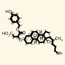 CC(C)CCC[C@@H](C)[C@H]1CC[C@H]2[C@@H]3CC=C4C[C@@H](OC(CC(=O)O)C(=O)OCc5ccc(O)cc5)CC[C@]4(C)[C@H]3CC[C@]12C